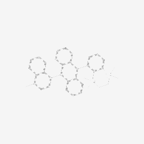 Cc1ccc(-c2c3ccccc3c(-c3cccc4c3[Si](C)(C)CC[Si]4(C)C)c3ccccc23)c2ccccc12